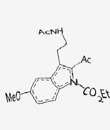 CCOC(=O)n1c(C(C)=O)c(CCNC(C)=O)c2cc(OC)ccc21